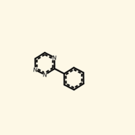 c1ccc(-c2nccnn2)cc1